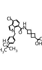 CC(C)(C)c1ccc(Cn2ccc3c(Cl)ccc(C(=O)NC4CC5(C4)CC(C(=O)O)C5)c32)cc1